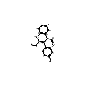 CCC1=C(c2ccc(F)cc2)C(C=O)c2ccccc2O1